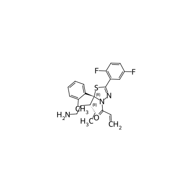 C=CC(=O)N1N=C(c2cc(F)ccc2F)S[C@@]1(c1ccccc1C)[C@H](CC)CCN